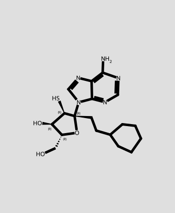 Nc1ncnc2c1ncn2[C@]1(CCC2CCCCC2)O[C@H](CO)[C@@H](O)[C@H]1S